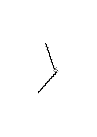 CCCCCCCCCCCCCCC/C=C/C(=O)OC(=O)/C=C/CCCCCCCCCCCCCCC